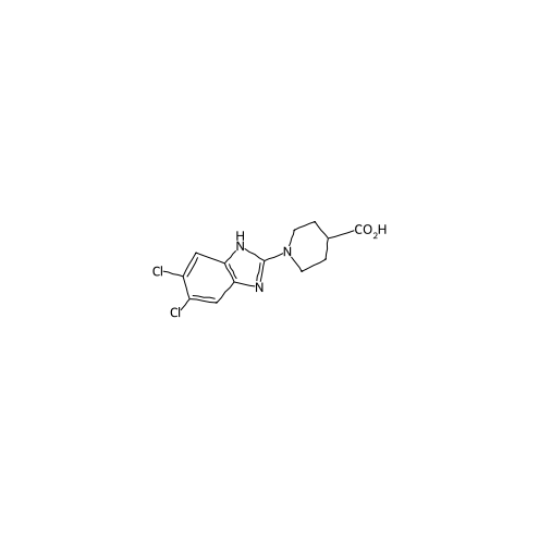 O=C(O)C1CCN(c2nc3cc(Cl)c(Cl)cc3[nH]2)CC1